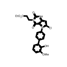 CCOC(=O)CCn1c(=O)[nH]c2cc(Cl)n(-c3ccc(-c4cccc(OC)c4O)cc3)c2c1=O